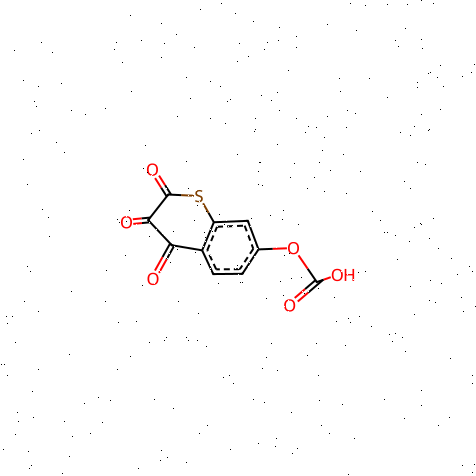 O=C(O)Oc1ccc2c(c1)SC(=O)C(=O)C2=O